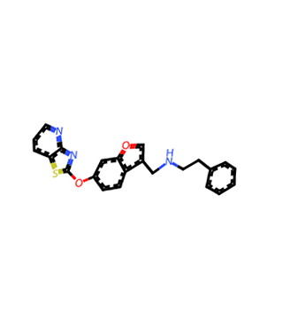 c1ccc(CCNCc2coc3cc(Oc4nc5ncccc5s4)ccc23)cc1